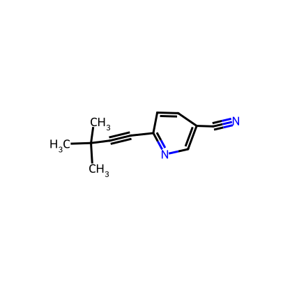 CC(C)(C)C#Cc1ccc(C#N)cn1